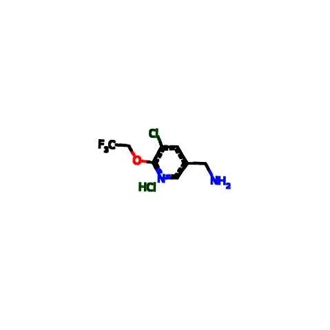 Cl.NCc1cnc(OCC(F)(F)F)c(Cl)c1